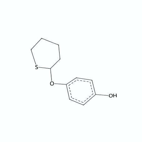 Oc1ccc(OC2CCCCS2)cc1